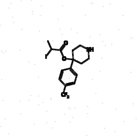 CC(I)C(=O)OC1(c2ccc(C(F)(F)F)cc2)CCNCC1